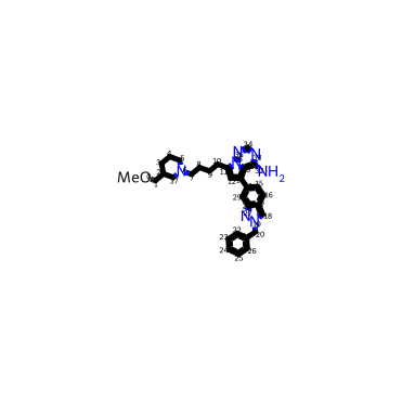 COCC1CCCN(CCCCc2cc(-c3ccc4cn(Cc5ccccc5)nc4c3)c3c(N)ncnn23)C1